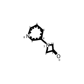 O=C1CN(c2cccnc2)C1